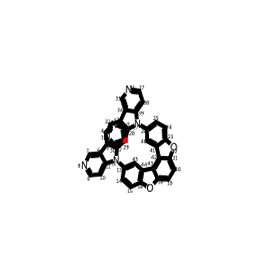 c1cc2c(cn1)c1cnccc1n2-c1ccc2oc3ccc4oc5ccc(-n6c7ccncc7c7cnccc76)cc5c4c3c2c1